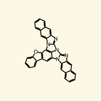 c1ccc2cc3c(cc2c1)nc1n3c2cc3c4ccccc4oc3c3c2n1c1nc2cc4ccccc4cc2n31